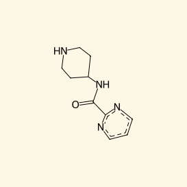 O=C(NC1CCNCC1)c1ncccn1